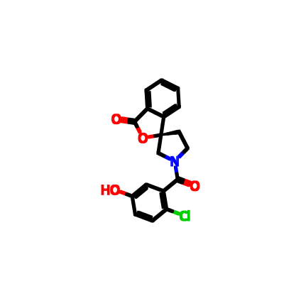 O=C1O[C@]2(CCN(C(=O)c3cc(O)ccc3Cl)C2)c2ccccc21